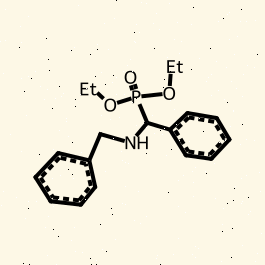 CCOP(=O)(OCC)C(NCc1ccccc1)c1ccccc1